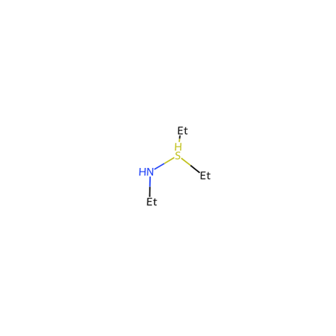 CCN[SH](CC)CC